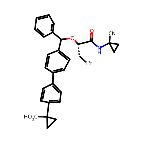 CC(C)C[C@H](OC(c1ccccc1)c1ccc(-c2ccc(C3(C(=O)O)CC3)cc2)cc1)C(=O)NC1(C#N)CC1